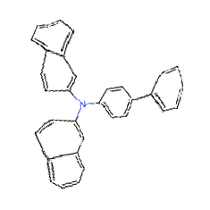 c1ccc(-c2ccc(N(c3ccc4ccccc4c3)c3ccc4ccccc4c3)cc2)cc1